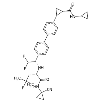 CC(C)(F)C[C@H](N[C@@H](c1ccc(-c2ccc(C3C[C@H]3C(=O)NC3CC3)cc2)cc1)C(F)F)C(=O)NC1(C#N)CC1